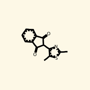 Cc1nc(C2C(=O)c3ccccc3C2=O)c(C)s1